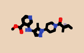 C/C=C(\C)C(=O)N1CCC(n2ncc(Nc3cnccc3C(=O)OC)c2C)CC1